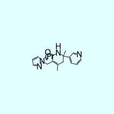 CC1=C(C[N+]2(C(C)C)C=CC=N2)C(=O)NC(C)(c2cccnc2)C1